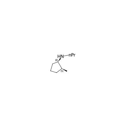 CCCN[C@@H]1CCC[C@@H]1C